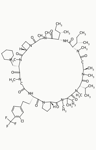 CC[C@H](C)[C@@H]1NC(=O)[C@H]([C@@H](C)CC)N(C)C(=O)C[C@@H](C)N(C)C(=O)[C@H](C(C)C)N(C)C(=O)C(C)(C)N(C)C(=O)[C@@H]2CCCN2C(=O)[C@H](CCc2ccc(C(F)(F)F)c(Cl)c2)NC(=O)CN(C)C(=O)[C@H](CC2CCCCC2)N(C)C(=O)[C@@H]2CCN2C(=O)[C@H](C)N(C)C1=O